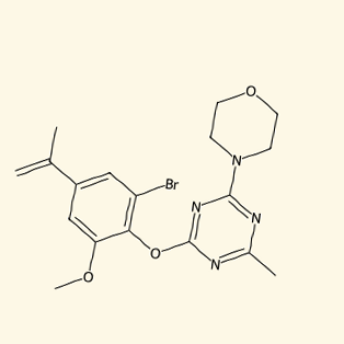 C=C(C)c1cc(Br)c(Oc2nc(C)nc(N3CCOCC3)n2)c(OC)c1